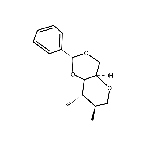 C[C@@H]1CO[C@@H]2CO[C@@H](c3ccccc3)OC2[C@H]1C